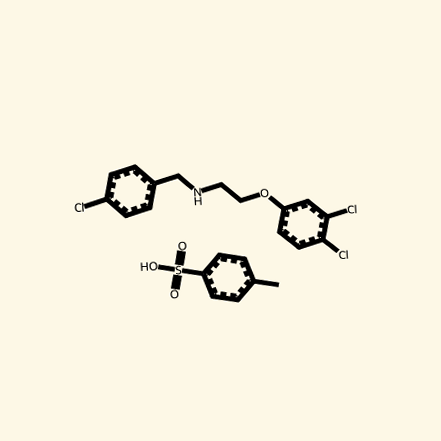 Cc1ccc(S(=O)(=O)O)cc1.Clc1ccc(CNCCOc2ccc(Cl)c(Cl)c2)cc1